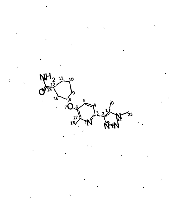 [CH2]c1c(-c2ccc(O[C@H]3CCC[C@H](C(N)=O)C3)c(C)n2)nnn1C